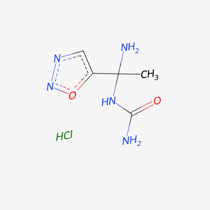 CC(N)(NC(N)=O)c1cnno1.Cl